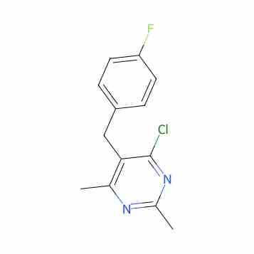 Cc1nc(C)c(Cc2ccc(F)cc2)c(Cl)n1